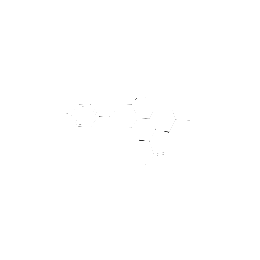 CC(C)C[C@H](C(=O)N1CCN(c2ncc(F)cn2)C[C@H]1C)[C@H](O)C(=O)O